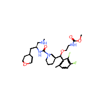 CNC[C@H](CC1CCOCC1)NC(=O)N1CCCC(C(OCCNC(=O)OC)c2c(C)ccc(F)c2F)C1